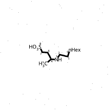 CCCCCCCCNC(C)CCS(=O)(=O)O